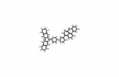 c1cc(-c2ccc(-n3c4cc5ccccc5cc4c4cc5ccccc5cc43)cc2)cc(-c2ccc3c4c(cccc24)-c2ccccc2S3)c1